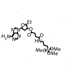 CC[C@H]1O[C@@H](n2cnc3c(N)ncnc32)C[C@H]1OC(=O)CCC(=O)NCCC[Si](OC)(OC)OC